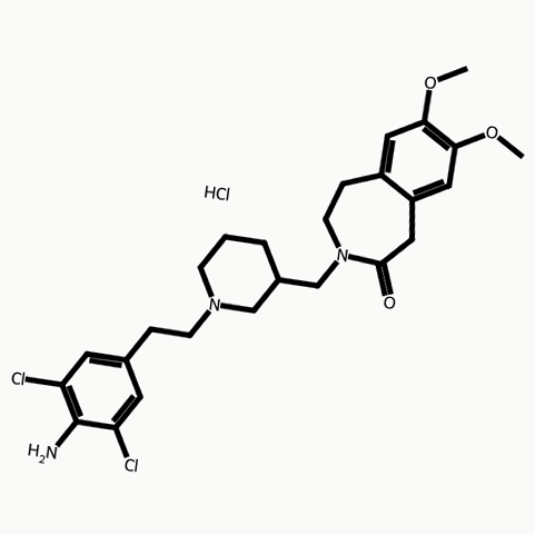 COc1cc2c(cc1OC)CC(=O)N(CC1CCCN(CCc3cc(Cl)c(N)c(Cl)c3)C1)CC2.Cl